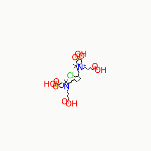 CC1(C)C(/C=C/C2=C(Cl)C(=C/C=C3/N(CCCCCC(=O)O)c4ccc(S(=O)(=O)O)cc4C3(C)C)/CCC2)=[N+](CCCCCC(=O)O)c2ccc(S(=O)(=O)O)cc21